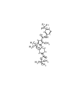 Cc1c(C(=O)Nc2cccc(C(F)(F)F)c2)cc(C(C)(C)C)n1C1CCN(C(=O)OC(C)(C)C)CC1